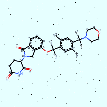 [2H]c1cc(C([2H])([2H])N2CCOCC2)c([2H])cc1C([2H])([2H])Oc1cccc2c1CN(C1CCC(=O)NC1=O)C2=O